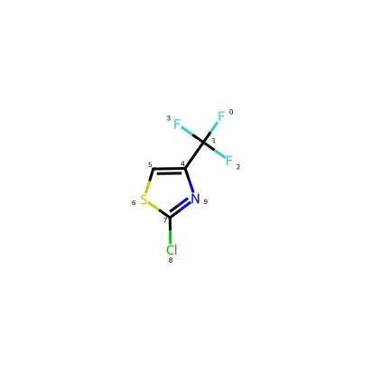 FC(F)(F)c1csc(Cl)n1